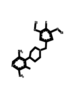 CCOc1cc(CN2CCC(c3c(N)cnc(N)c3C)CC2)cc(OCC)c1F